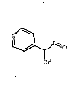 O=PC(O)c1ccccc1